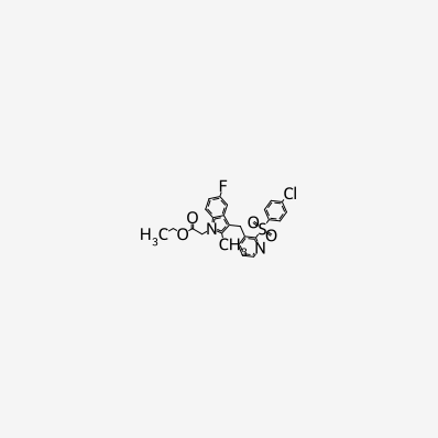 CCOC(=O)Cn1c(C)c(Cc2cccnc2S(=O)(=O)c2ccc(Cl)cc2)c2cc(F)ccc21